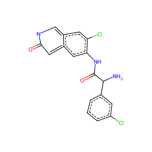 NC(C(=O)Nc1cc2c(cc1Cl)=C[N]C(=O)C=2)c1cccc(Cl)c1